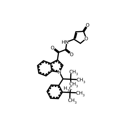 CC(C)(C)c1ccccc1C(n1cc(C(=O)C(=O)NC2=CC(=O)OC2)c2ccccc21)C(C)(C)C